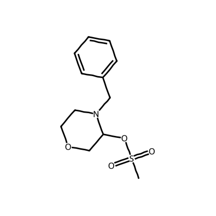 CS(=O)(=O)OC1COCCN1Cc1ccccc1